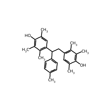 Cc1ccc(C(Cc2cc(C)c(O)c(C)c2C)c2cc(C)c(O)c(C)c2C)cc1